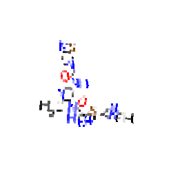 Cc1ncc(NC(=O)CN2CCc3ncsc3C2)cc1NC(=O)c1cnn2cc(-c3cnn(C)c3)sc12